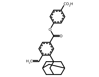 C=Cc1ccc(C(=O)Oc2ccc(C(=O)O)cc2)cc1C12CC3CC(CC(C3)C1)C2